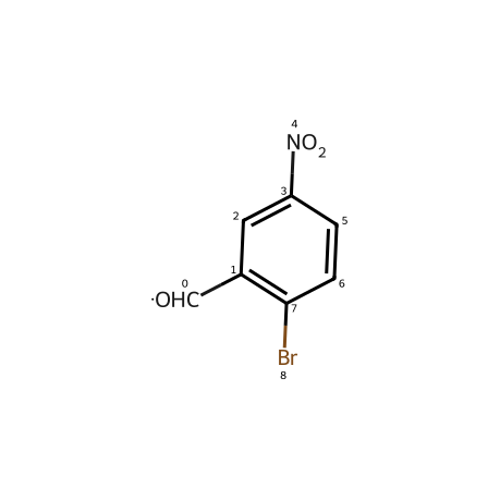 O=[C]c1cc([N+](=O)[O-])ccc1Br